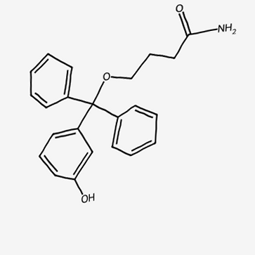 NC(=O)CCCOC(c1ccccc1)(c1ccccc1)c1cccc(O)c1